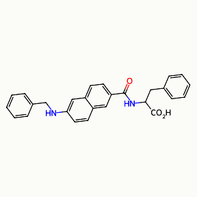 O=C(NC(Cc1ccccc1)C(=O)O)c1ccc2cc(NCc3ccccc3)ccc2c1